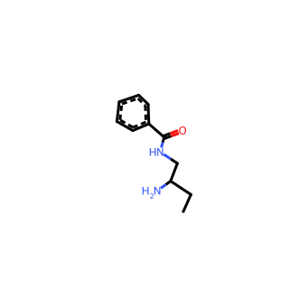 CCC(N)CNC(=O)c1ccccc1